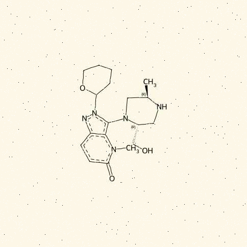 C[C@@H]1CN(c2c3c(ccc(=O)n3C)nn2C2CCCCO2)[C@@H](CO)CN1